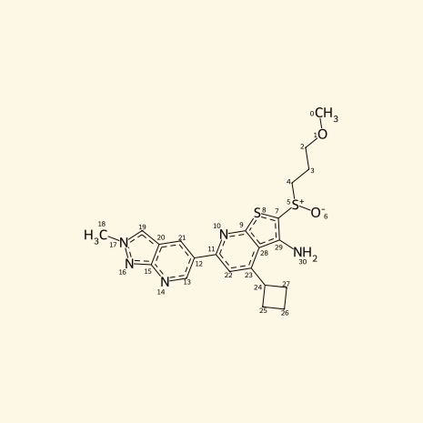 COCCC[S+]([O-])c1sc2nc(-c3cnc4nn(C)cc4c3)cc(C3CCC3)c2c1N